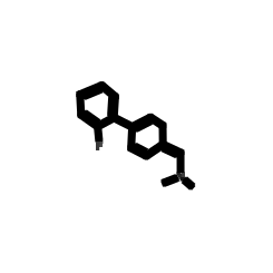 CN(C)C=C1C=CC(c2ccccc2F)=CC1